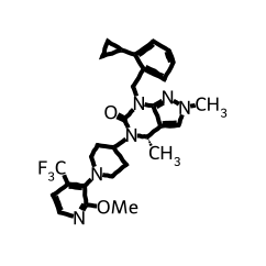 COc1nccc(C(F)(F)F)c1N1CCC(N2C(=O)N(Cc3ccccc3C3CC3)c3nn(C)cc3[C@@H]2C)CC1